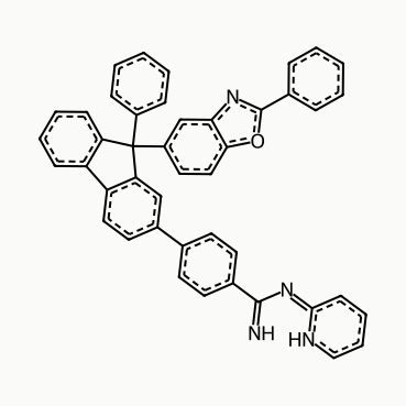 N=C(/N=c1/cccc[nH]1)c1ccc(-c2ccc3c(c2)C(c2ccccc2)(c2ccc4oc(-c5ccccc5)nc4c2)c2ccccc2-3)cc1